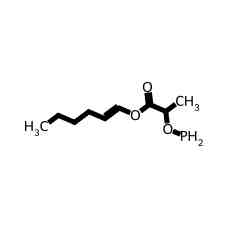 CCCCC=COC(=O)C(C)OP